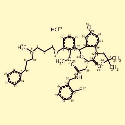 COc1c(OCCCN(C)CCCc2ccccc2)cccc1[C@@H]1O[C@@H](CC(=O)NCc2ccccc2F)C(=O)N(CC(C)(C)C)c2ccc(Cl)cc21.Cl